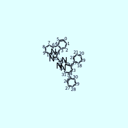 c1ccc2c(c#1)c1cccc3nc(-c4nc5c(-c6ccccc6)cc(-c6ccccc6)cn5n4)c2n31